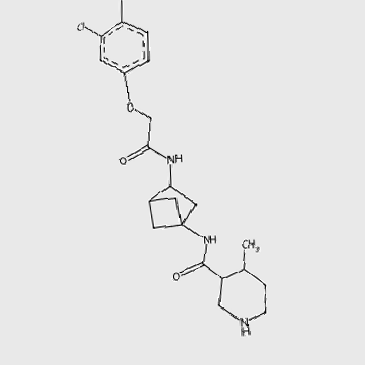 CC1CCNCC1C(=O)NC12CC(C1)C(NC(=O)COc1ccc(Cl)c(Cl)c1)C2